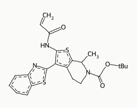 C=CC(=O)Nc1sc2c(c1-c1nc3ccccc3s1)CCN(C(=O)OC(C)(C)C)C2C